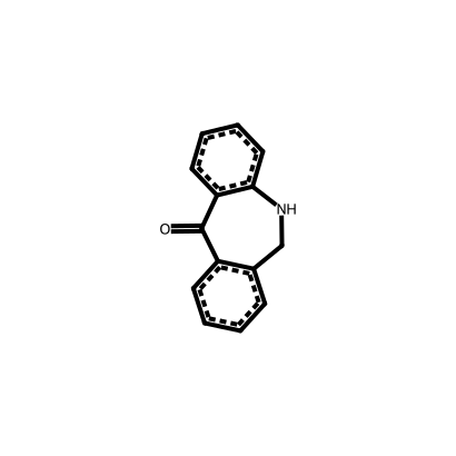 O=C1c2ccccc2CNc2ccccc21